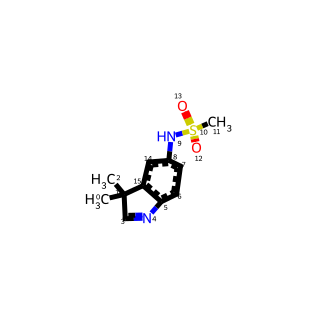 CC1(C)C=Nc2ccc(NS(C)(=O)=O)cc21